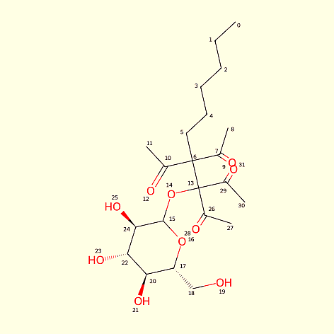 CCCCCCC(C(C)=O)(C(C)=O)C(OC1O[C@H](CO)[C@@H](O)[C@H](O)[C@H]1O)(C(C)=O)C(C)=O